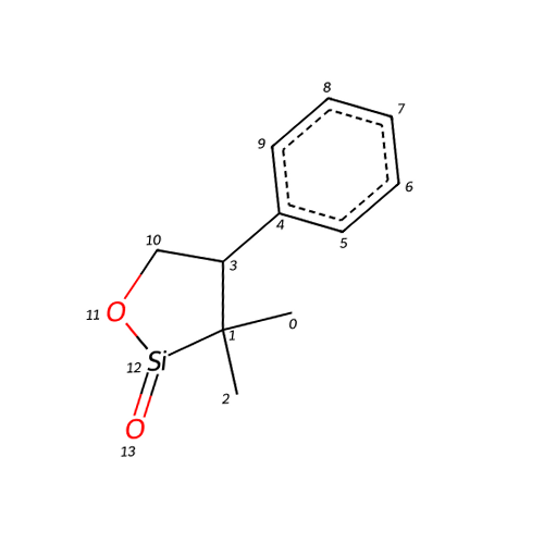 CC1(C)C(c2ccccc2)CO[Si]1=O